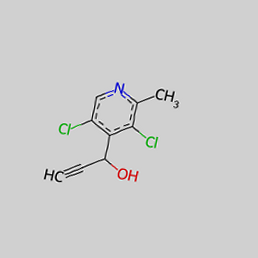 C#CC(O)c1c(Cl)cnc(C)c1Cl